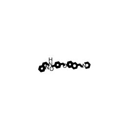 O=C(Nc1ccc2ccccc2n1)c1ccc(COc2ccc3c(c2)CCC(CCN2CCCCC2)C3)cc1